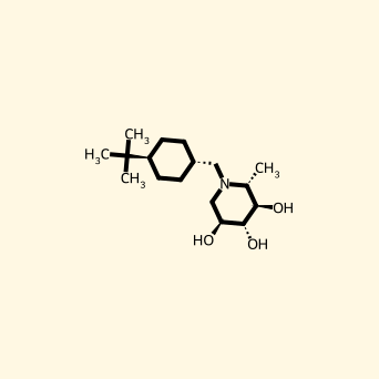 C[C@@H]1[C@@H](O)[C@H](O)[C@@H](O)CN1C[C@H]1CC[C@H](C(C)(C)C)CC1